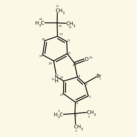 CC(C)(C)c1cc(Br)c2c(=O)c3cc(C(C)(C)C)ccc3[nH]c2c1